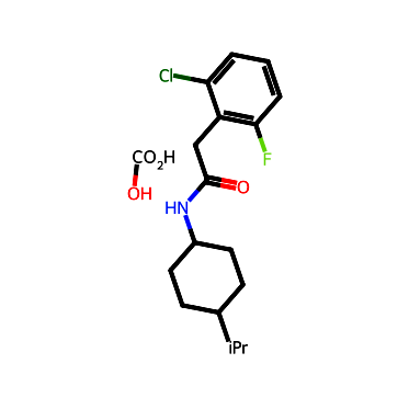 CC(C)C1CCC(NC(=O)Cc2c(F)cccc2Cl)CC1.O=C(O)O